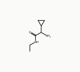 CCNC(=O)C(N)C1CC1